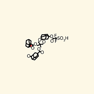 O=C1C2CC3CC1CC(C(=O)OCC1(COC(=O)C45CC6CC(C4)C(=O)C(C6)C5)COC4(OC1)C1CC5CC4CC(OC(=O)C(F)(F)S(=O)(=O)O)(C5)C1)(C3)C2